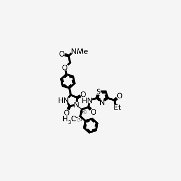 CCC(=O)c1csc(NC(=O)[C@H]([C@@H](C)c2ccccc2)N2C(=O)NC(c3ccc(OCC(=O)NC)cc3)C2=O)n1